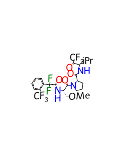 COC[C@H](NC(=O)C(F)(F)c1ccccc1C(F)(F)F)C(=O)N1CCCC1C(=O)NC(C(=O)C(F)(F)F)C(C)C